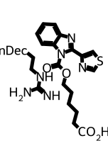 CCCCCCCCCCCCNC(=N)N.O=C(O)CCCCCOC(=O)n1c(-c2cscn2)nc2ccccc21